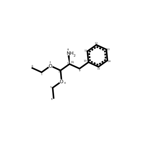 CCOC(OCC)[C@@H](N)Cc1ccccc1